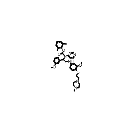 COc1cccc([C@H](CNc2ccc(OCCN3CCN(C)CC3)c(OC)c2)N(C(=O)Oc2c(C)cccc2C)c2ccncn2)c1